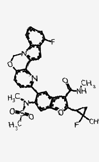 CNC(=O)c1c(C2CC2(C)F)oc2cc(N(C)S(C)(=O)=O)c(-c3ccc4c(n3)-c3cc5c(F)cccc5n3CO4)cc12